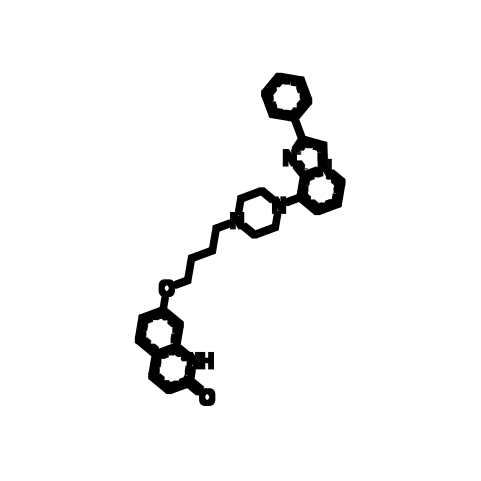 O=c1ccc2ccc(OCCCCN3CCN(c4cccn5cc(-c6ccccc6)nc45)CC3)cc2[nH]1